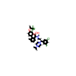 Cc1cccc([C@@H](C(=O)O)N(C)CC[C@@H](c2cc(F)cc(Cl)c2)N2CCN(C(C)C)CC2)c1C1CCC(OC(C)C(F)(F)F)CC1